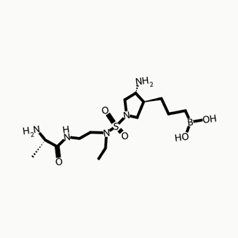 CCN(CCNC(=O)[C@H](C)N)S(=O)(=O)N1C[C@H](CCCB(O)O)[C@@H](N)C1